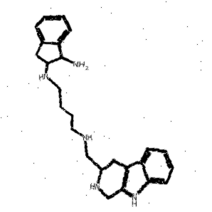 NC1c2ccccc2CC1NCCCCNCC1Cc2c([nH]c3ccccc23)CN1